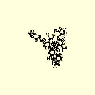 CCC(C)C(NC(=O)Cc1ccccc1F)C(=O)N[C@@]1(C(=O)NC(C(=O)OCCCn2ccnc2)C(C)CC)CCc2[nH]c3c(C(F)(F)F)cccc3c2C1